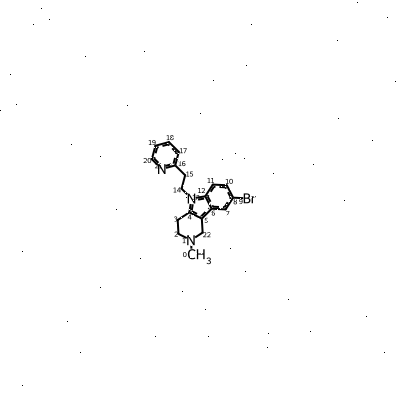 CN1CCc2c(c3cc(Br)ccc3n2CCc2ccccn2)C1